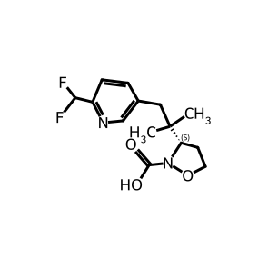 CC(C)(Cc1ccc(C(F)F)nc1)[C@@H]1CCON1C(=O)O